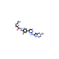 CCN1CCn2nc(Nc3nccc(-c4ccc(CNC(=O)c5cnc(C(C)(C)C)s5)c(C)c4)n3)cc2C1